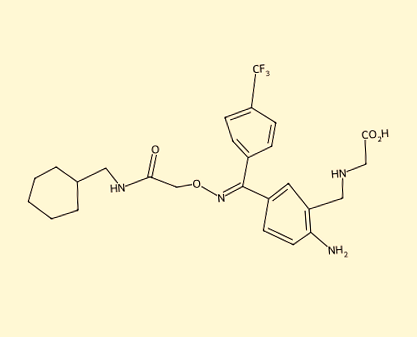 Nc1ccc(C(=NOCC(=O)NCC2CCCCC2)c2ccc(C(F)(F)F)cc2)cc1CNCC(=O)O